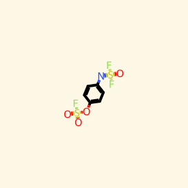 O=S(=O)(F)Oc1ccc(N=S(=O)(F)F)cc1